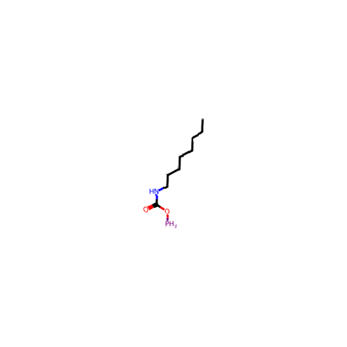 CCCCCCCCNC(=O)OP